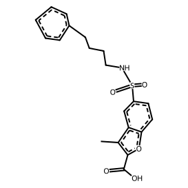 Cc1c(C(=O)O)oc2ccc(S(=O)(=O)NCCCCc3ccccc3)cc12